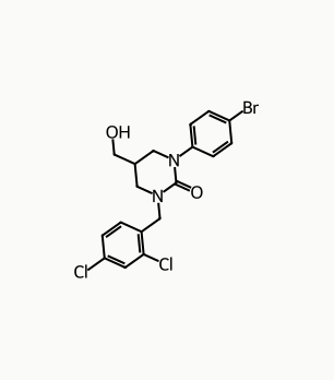 O=C1N(Cc2ccc(Cl)cc2Cl)CC(CO)CN1c1ccc(Br)cc1